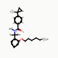 [2H]C([2H])(c1ccccc1OCCCCCC(=O)O)N(C(=O)c1ccc(C2(C(F)(F)F)CC2)cc1)C(C)C